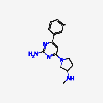 CNC1CCN(c2cc(-c3c[c]ccc3)nc(N)n2)C1